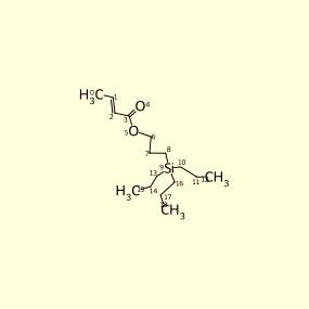 CC=CC(=O)OCCC[Si](CCC)(CCC)CCC